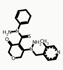 Cc1cnccc1CN(N)C1=C(C(=S)N(N)C2=CCCC=C2)C(=O)COC1